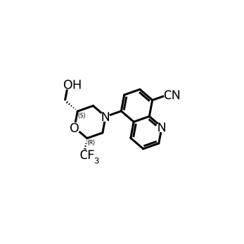 N#Cc1ccc(N2C[C@@H](CO)O[C@@H](C(F)(F)F)C2)c2cccnc12